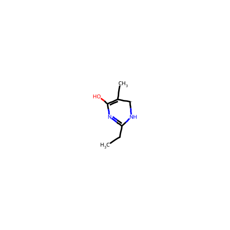 CCC1=NC(O)=C(C)[CH]N1